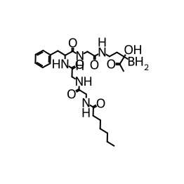 BC(O)(CCNC(=O)CNC(=O)C(Cc1ccccc1)NC(=O)CNC(=O)CNC(=O)CCCCCC)C(C)=O